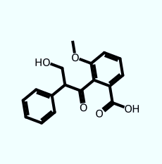 COc1cccc(C(=O)O)c1C(=O)C(CO)c1ccccc1